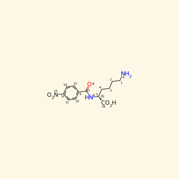 NCCCC[C@H](NC(=O)c1ccc([N+](=O)[O-])cc1)C(=O)O